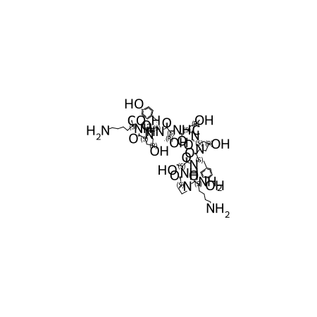 C[C@@H](O)[C@H](NC(=O)[C@@H]1C[C@@H](O)CN1C(=O)[C@@H]1C[C@@H](O)CN1C(=O)[C@H](Cc1ccc(O)cc1)NC(=O)[C@H](CO)NC(=O)[C@@H]1CCCN1C(=O)[C@@H](N)CCCCN)C(=O)N[C@@H](Cc1ccc(O)cc1)C(=O)N1C[C@H](O)C[C@H]1C(=O)N[C@@H](CCCCN)C(=O)O